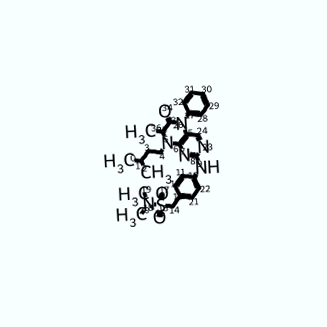 CC(C)CCN1c2nc(Nc3ccc(CS(=O)(=O)N(C)C)cc3)ncc2N(c2ccccc2)C(=O)C1C